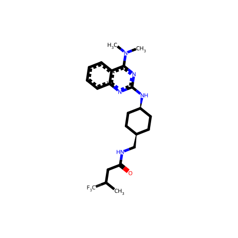 CC(CC(=O)NC[C@H]1CC[C@@H](Nc2nc(N(C)C)c3ccccc3n2)CC1)C(F)(F)F